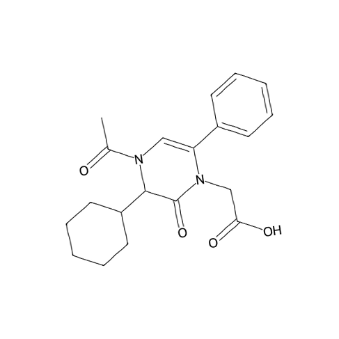 CC(=O)N1C=C(c2ccccc2)N(CC(=O)O)C(=O)C1C1CCCCC1